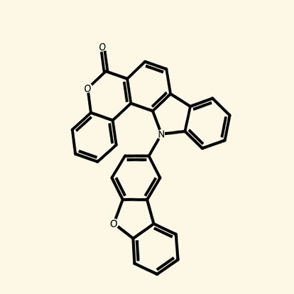 O=c1oc2ccccc2c2c1ccc1c3ccccc3n(-c3ccc4oc5ccccc5c4c3)c12